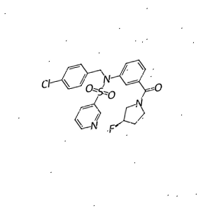 O=C(c1cccc(N(Cc2ccc(Cl)cc2)S(=O)(=O)c2cccnc2)c1)N1CC[C@@H](F)C1